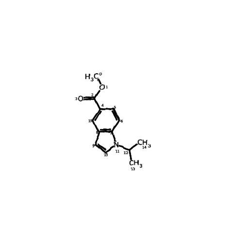 COC(=O)c1ccc2c(ccn2C(C)C)c1